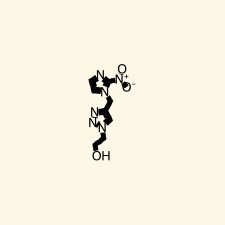 O=[N+]([O-])c1nccn1Cc1cn(CCO)nn1